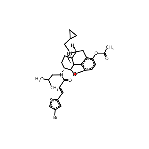 CC(=O)Oc1ccc2c3c1C[C@@H]1[C@@H]4CC[C@@H](N(CC(C)C)C(=O)/C=C/c5cc(Br)cs5)[C@H](O2)[C@]34CCN1CC1CC1